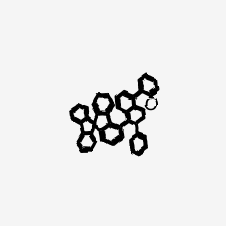 c1ccc(-c2cc3c4c(cccc4c2-c2cccc4c2-c2ccccc2C42c4ccccc4-c4ccccc42)-c2ccccc2O3)cc1